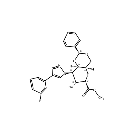 COC(=O)[C@@H]1O[C@@H]2CO[C@H](c3ccccc3)O[C@@H]2[C@H](n2cc(-c3cccc(F)c3)nn2)[C@H]1O